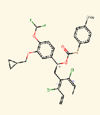 C=C/C(Cl)=C(C[C@H](OC(=O)Sc1ccc(OC)cc1)c1ccc(OC(F)F)c(OCC2CC2)c1)\C(Cl)=C/C